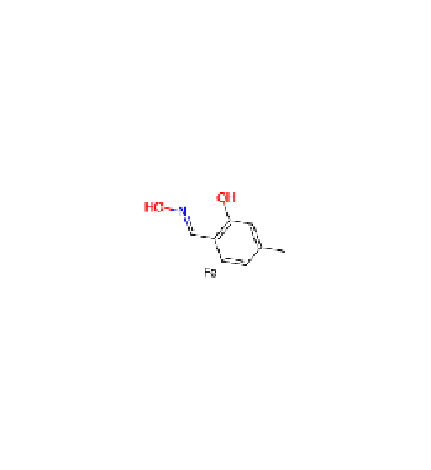 Cc1ccc(C=NO)c(O)c1.[Fe]